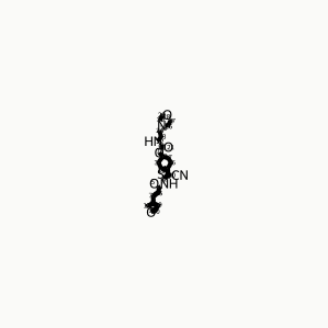 N#Cc1c(NC(=O)C=Cc2ccoc2)sc2c1CCC(OC(=O)NCCN1CCOCC1)C2